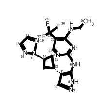 CCNc1nc(Nc2[nH]ncc2[C@H]2C[C@H](n3nccn3)C2)ncc1C(F)(F)F